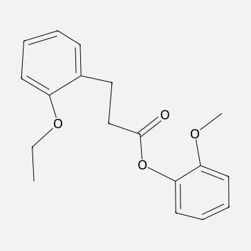 CCOc1ccccc1CCC(=O)Oc1ccccc1OC